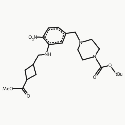 COC(=O)C1CC(CNc2cc(CN3CCN(C(=O)OC(C)(C)C)CC3)ccc2[N+](=O)[O-])C1